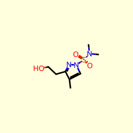 Cc1cn(S(=O)(=O)N(C)C)nc1CCO